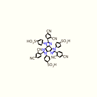 N#Cc1ccc(-c2nc3c(c4nc(-c5ccc(C#N)cc5C#N)n(-c5ccc(S(=O)(=O)O)cc5)c4c4nc(-c5ccc(C#N)cc5C#N)n(-c5ccc(S(=O)(=O)O)cc5)c34)n2-c2ccc(S(=O)(=O)O)cc2)c(C#N)c1